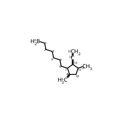 BCCCCCCC1C(=C)CC(C)C1=C=C